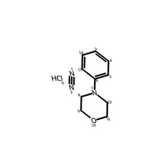 Cl.N#N.c1ccc(N2CCOCC2)cc1